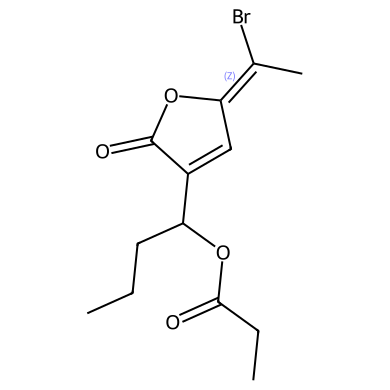 CCCC(OC(=O)CC)C1=C/C(=C(\C)Br)OC1=O